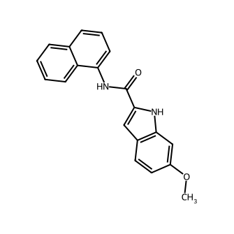 COc1ccc2cc(C(=O)Nc3cccc4ccccc34)[nH]c2c1